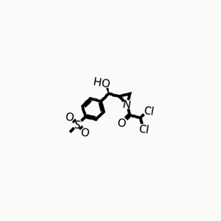 CS(=O)(=O)c1ccc([C@@H](O)C2CN2C(=O)C(Cl)Cl)cc1